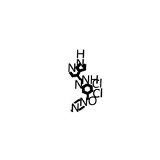 CN1CCN(C(=O)c2cc3nc(-c4ccnc5[nH]ccc45)[nH]c3c(Cl)c2Cl)CC1